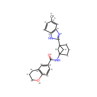 O=C(NC12CCCC(c3nc4cc(C(F)(F)F)ccc4[nH]3)(C1)C2)c1ccc2c(c1)CCCO2